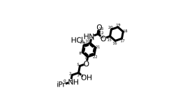 CC(C)NCC(O)COc1ccc(NC(=O)OC2CCCCC2)cc1.Cl